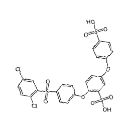 O=S(=O)(O)c1ccc(Oc2ccc(Oc3ccc(S(=O)(=O)c4cc(Cl)ccc4Cl)cc3)c(S(=O)(=O)O)c2)cc1